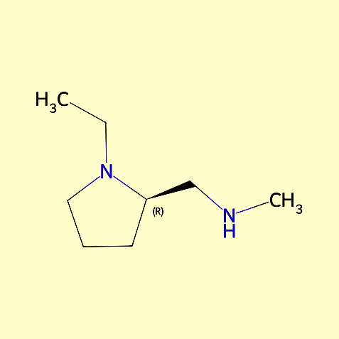 CCN1CCC[C@@H]1CNC